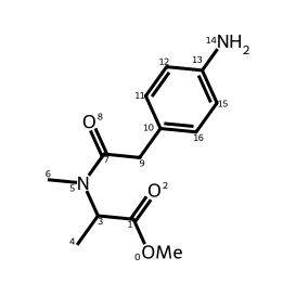 COC(=O)C(C)N(C)C(=O)Cc1ccc(N)cc1